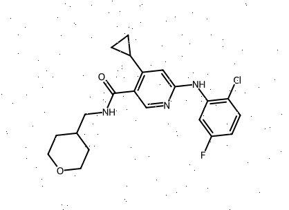 O=C(NCC1CCOCC1)c1cnc(Nc2cc(F)ccc2Cl)cc1C1CC1